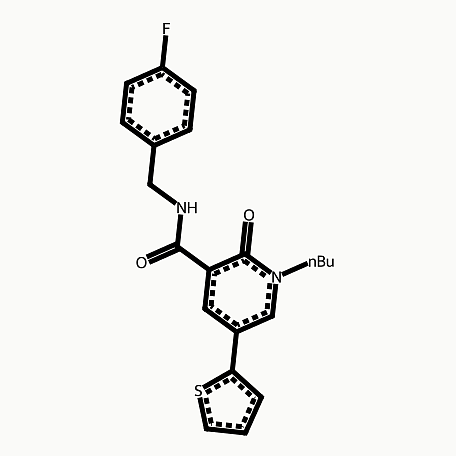 CCCCn1cc(-c2cccs2)cc(C(=O)NCc2ccc(F)cc2)c1=O